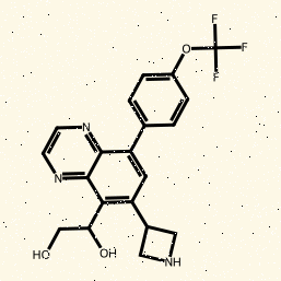 OCC(O)c1c(C2CNC2)cc(-c2ccc(OC(F)(F)F)cc2)c2nccnc12